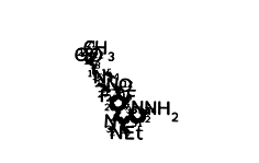 CCc1ncnc(-c2cc(F)c(C(=O)N3CCN(CCCS(C)(=O)=O)CC3)c(F)c2)c1-c1ccc(N)nc1